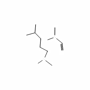 CC(C)CCCN(C)C.CN(C)C=O